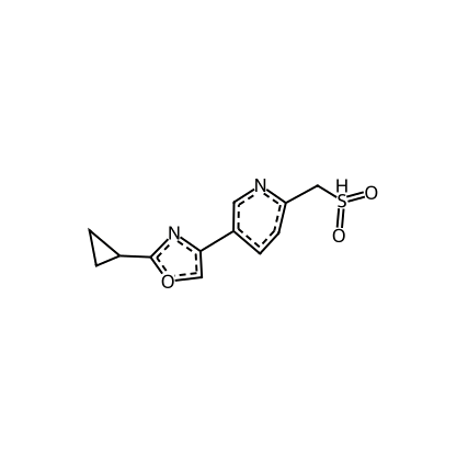 O=[SH](=O)Cc1ccc(-c2coc(C3CC3)n2)cn1